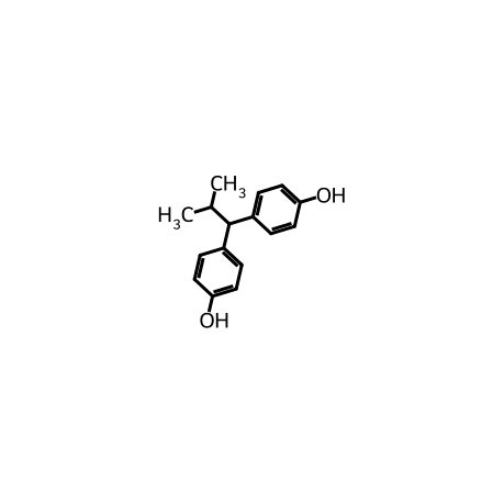 CC(C)C(c1ccc(O)cc1)c1ccc(O)cc1